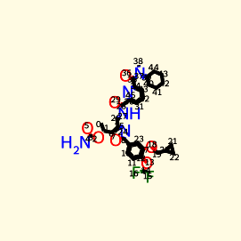 CC(OC(N)=O)c1oc(-c2ccc(OC(F)F)c(OCC3CC3)c2)nc1CNC(=O)c1cccc(C(=O)N(C)C2CCCCC2)n1